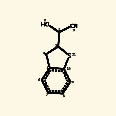 N#CC(O)C1Cc2ccccc2S1